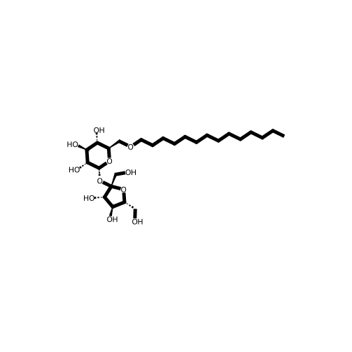 CCCCCCCCCCCCCCOC[C@H]1O[C@H](O[C@]2(CO)O[C@H](CO)[C@@H](O)[C@@H]2O)[C@H](O)[C@@H](O)[C@@H]1O